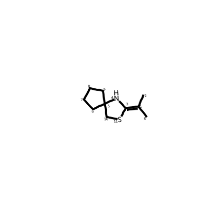 CC(C)=C1NC2(CCCC2)CS1